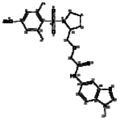 COc1cc(C)c(S(=O)(=O)N2CCCC2COCC(=O)Nc2ccc3c(c2)ncn3C)c(C)c1